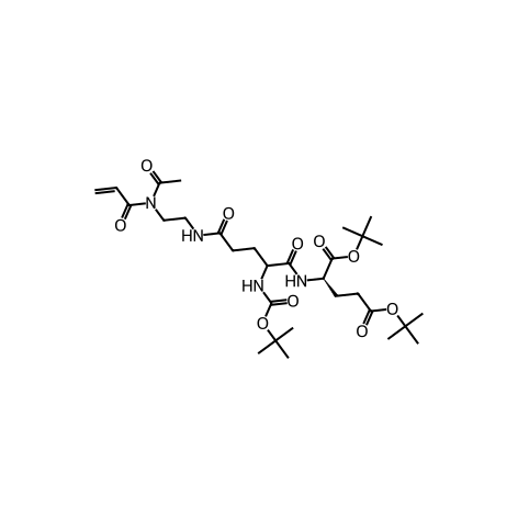 C=CC(=O)N(CCNC(=O)CCC(NC(=O)OC(C)(C)C)C(=O)N[C@H](CCC(=O)OC(C)(C)C)C(=O)OC(C)(C)C)C(C)=O